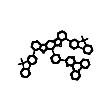 CC1(C)c2ccccc2-c2ccc(-c3cccc4c3oc3c(-c5cccc(-c6cnc7c8ccccc8c8ccccc8c7n6)c5)c5oc6c(-c7ccc8c(c7)C(C)(C)c7ccccc7-8)cccc6c5cc34)cc21